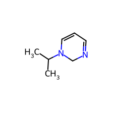 CC(C)N1C=CC=NC1